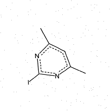 Cc1cc(C)nc(I)n1